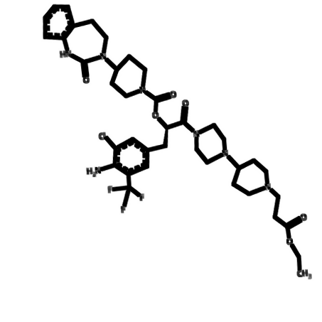 CCOC(=O)CCN1CCC(N2CCN(C(=O)[C@@H](Cc3cc(Cl)c(N)c(C(F)(F)F)c3)OC(=O)N3CCC(N4CCc5ccccc5NC4=O)CC3)CC2)CC1